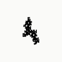 Cc1ncc(-c2ccc(Nc3nc(Br)cn4cc(-c5ccc(F)cc5C)nc34)cc2)o1